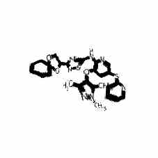 Cc1nn(C)c(C)c1Oc1cc(Sc2ccccn2)cnc1Nc1nc(C2COC3(CCCCC3)O2)ns1